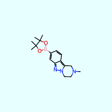 CN1CCn2nc3cc(B4OC(C)(C)C(C)(C)O4)ccc3c2C1